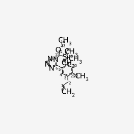 C=CCc1cc(-c2nnnn2C(OCC)[Si](C)(C)C)ccc1C